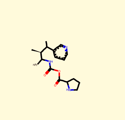 CCCC(NC(=O)OC(=O)C1CCCN1)[C@@H](C)C(C)c1cccnc1